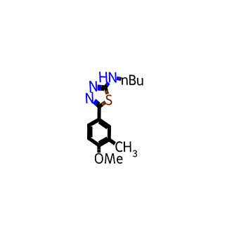 CCCCNc1nnc(-c2ccc(OC)c(C)c2)s1